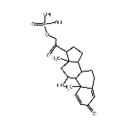 CC12C=CC(=O)C=C1CCC1C2C(O)CC2(C)C(C(=O)COP(=O)(O)O)CCC12